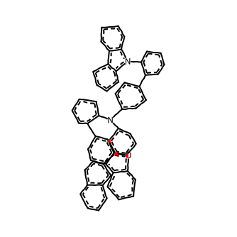 c1cc(-c2ccc3ccccc3c2)cc(N(c2ccc(-c3ccccc3-n3c4ccccc4c4ccccc43)cc2)c2ccccc2-c2ccc3c(c2)oc2ccccc23)c1